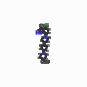 N#Cc1c[nH]c2c(N3CCC(c4ccc(N5CCC(C=O)CC5)cc4)CC3)ccc(Cl)c12